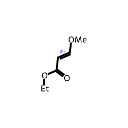 CCOC(=O)/C=C/OC